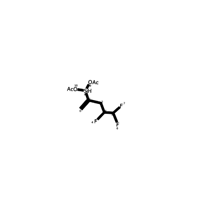 C=C(CC(F)C(F)F)[SiH](OC(C)=O)OC(C)=O